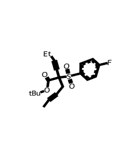 CC#CCC(C#CCC)(C(=O)OC(C)(C)C)S(=O)(=O)c1ccc(F)cc1